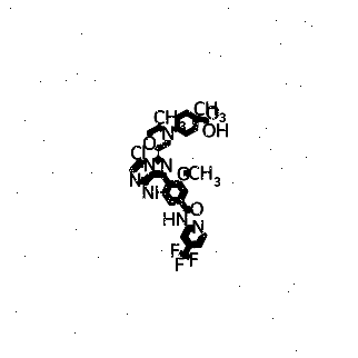 COc1cc(C(=O)Nc2cc(C(F)(F)F)ccn2)ccc1-c1nc([C@H]2CN(C3CCC(C)(C(=O)O)CC3)[C@@H](C)CO2)n2c(Cl)cnc(N)c12